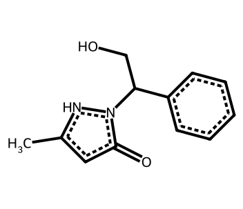 Cc1cc(=O)n(C(CO)c2ccccc2)[nH]1